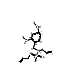 C=CCN=S(C)(=O)N(CC=C)Cc1ccc(OC)cc1OC